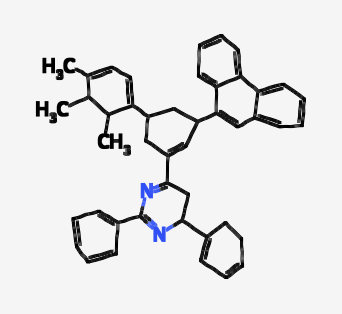 CC1=CC=C(C2CC(C3=NC(c4ccccc4)=NC(C4=CC=CCC4)C3)=CC(c3cc4ccccc4c4ccccc34)C2)C(C)C1C